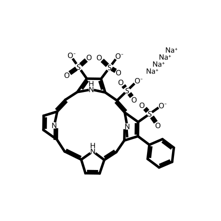 O=S(=O)([O-])C1=C(c2ccccc2)c2cc3ccc(cc4nc(cc5[nH]c(c(S(=O)(=O)[O-])c1n2)c(S(=O)(=O)[O-])c5S(=O)(=O)[O-])C=C4)[nH]3.[Na+].[Na+].[Na+].[Na+]